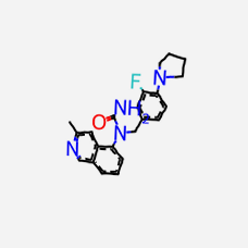 Cc1cc2c(N(Cc3ccc(N4CCCC4)c(F)c3)C(N)=O)cccc2cn1